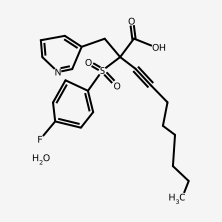 CCCCCCC#CC(Cc1cccnc1)(C(=O)O)S(=O)(=O)c1ccc(F)cc1.O